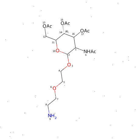 CC(=O)NC1C(OCCOCCN)OC(COC(C)=O)[C@H](OC(C)=O)C1OC(C)=O